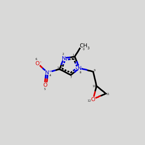 Cc1nc([N+](=O)[O-])cn1CC1CO1